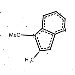 COn1c(C)cc2ncccc21